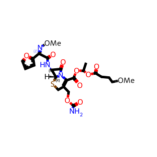 COCCCC(=O)OC(C)OC(=O)C1=C(COC(N)=O)CS[C@@H]2[C@H](NC(=O)/C(=N\OC)c3ccco3)C(=O)N12